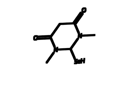 CN1C(=O)CC(=O)N(C)C1[SeH]